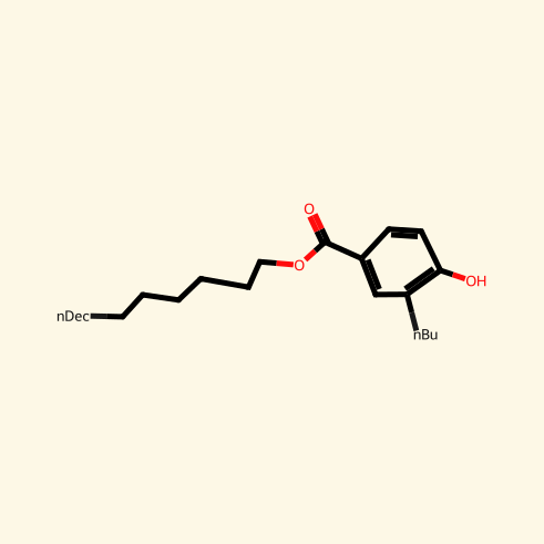 CCCCCCCCCCCCCCCCOC(=O)c1ccc(O)c(CCCC)c1